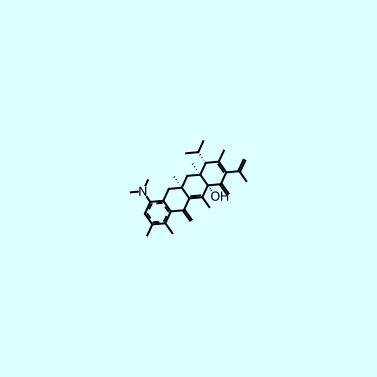 C=C(C)C1=C(C)[C@@H](C(C)C)[C@]2(C)C[C@]3(C)Cc4c(N(C)C)cc(C)c(C)c4C(=C)C3=C(C)[C@]2(O)C1=C